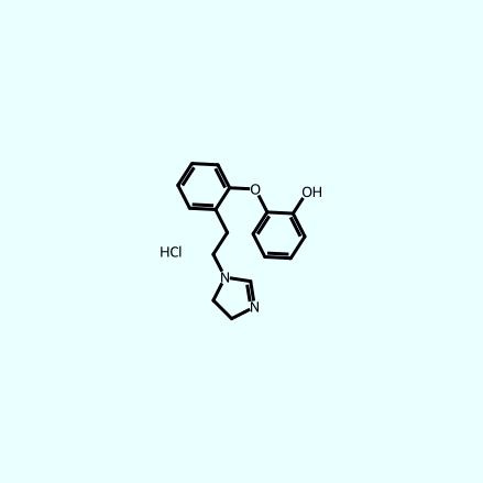 Cl.Oc1ccccc1Oc1ccccc1CCN1C=NCC1